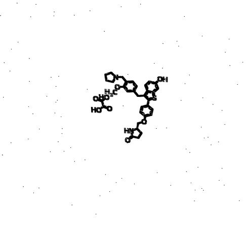 COc1cc(Cc2c(-c3ccc(OC[C@H]4CCC(=O)N4)cc3)sc3cc(O)ccc23)ccc1CN1CCCC1.O=C(O)C(=O)O